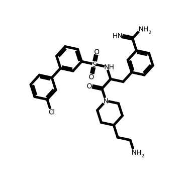 N=C(N)c1cccc(CC(NS(=O)(=O)c2cccc(-c3cccc(Cl)c3)c2)C(=O)N2CCC(CCN)CC2)c1